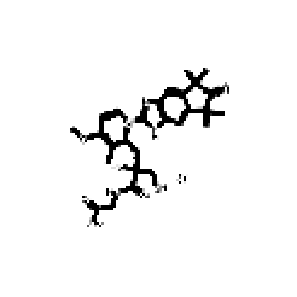 COc1cc[n+](-c2nc3cc4c(cc3[nH]2)C(C)(C)C(=O)C4(C)C)c(CC(S)(CS)C(=O)NCC(=O)O)c1C.[Cl-]